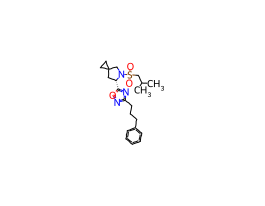 CC(C)CS(=O)(=O)N1CC2(CC2)C[C@H]1c1nc(CCCc2ccccc2)no1